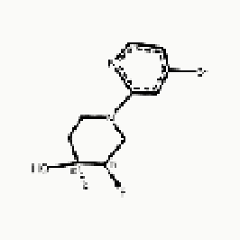 C[C@]1(O)CCN(c2cc(Br)ccn2)C[C@H]1F